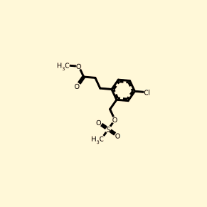 COC(=O)CCc1ccc(Cl)cc1COS(C)(=O)=O